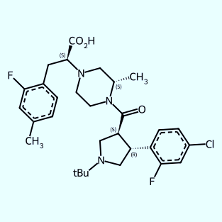 Cc1ccc(C[C@@H](C(=O)O)N2CCN(C(=O)[C@@H]3CN(C(C)(C)C)C[C@H]3c3ccc(Cl)cc3F)[C@@H](C)C2)c(F)c1